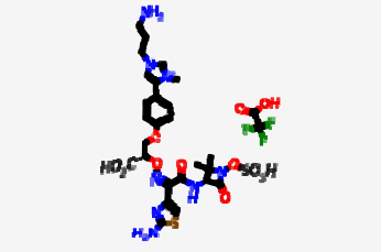 C[n+]1cn(CCCN)cc1-c1ccc(OC[C@H](O/N=C(\C(=O)N[C@@H]2C(=O)N(OS(=O)(=O)O)C2(C)C)c2csc(N)n2)C(=O)O)cc1.O=C(O)C(F)(F)F